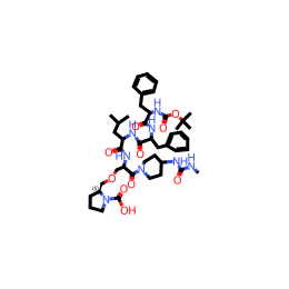 CNC(=O)NC1CCN(C(=O)C(COC[C@@H]2CCCN2C(=O)O)NC(=O)C(CC(C)C)NC(=O)C(Cc2ccccc2)NC(=O)C(Cc2ccccc2)NC(=O)OC(C)(C)C)CC1